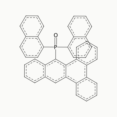 O=P(c1cccc2ccccc12)(c1cccc2ccccc12)c1c2ccccc2cc2c3ccccc3c3ccccc3c12